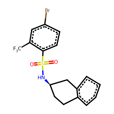 O=S(=O)(N[C@@H]1CCc2ccccc2C1)c1ccc(Br)cc1C(F)(F)F